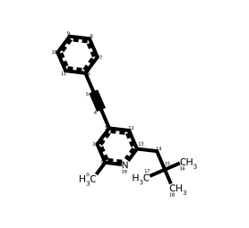 Cc1cc(C#Cc2ccccc2)cc(CC(C)(C)C)n1